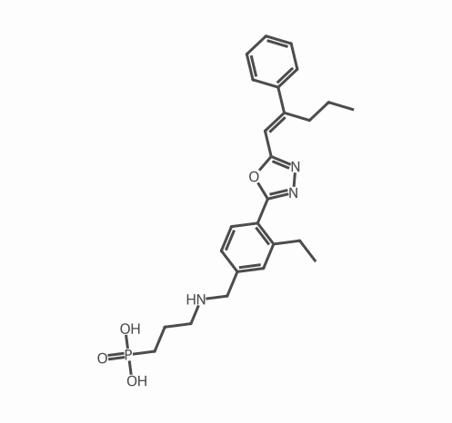 CCC/C(=C\c1nnc(-c2ccc(CNCCCP(=O)(O)O)cc2CC)o1)c1ccccc1